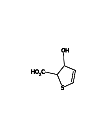 O=C(O)C1SC=CC1O